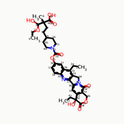 CCOC(O)C(C)(CCC1CCN(C(=O)Oc2ccc3nc4c(c(CC)c3c2)Cn2c-4cc3c(c2=O)COC(=O)C3(O)CC)CC1)C(=O)O